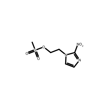 CS(=O)(=O)OCCn1ccnc1[N+](=O)[O-]